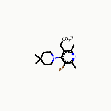 CCOC(=O)Cc1c(C)nc(C)c(Br)c1N1CCC(C)(C)CC1